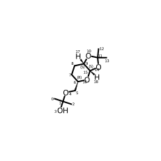 CC(C)(O)OC[C@H]1CC[C@@H]2OC(C)(C)O[C@@H]2O1